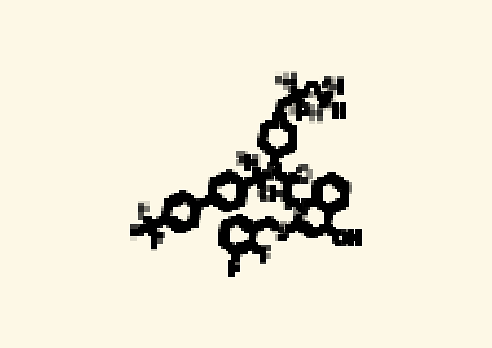 [2H]C([2H])([2H])OC([2H])([2H])CN1CCC(N(C(=O)CN2C(SCc3cccc(F)c3F)=CC(O)c3ccccc32)C([2H])(C)c2ccc(-c3ccc(C(F)(F)F)cc3)cc2)CC1